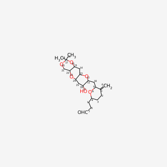 C=C1CCC(CCC=O)OC1CC1OC2CC3OC(C)(C)OCC3OC2CC1O